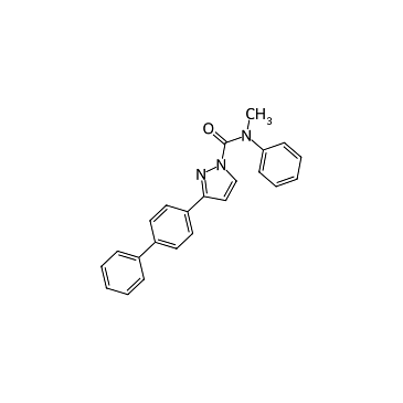 CN(C(=O)n1ccc(-c2ccc(-c3ccccc3)cc2)n1)c1ccccc1